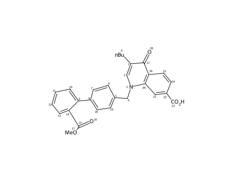 CCCCc1cn(Cc2ccc(-c3ccccc3C(=O)OC)cc2)c2cc(C(=O)O)ccc2c1=O